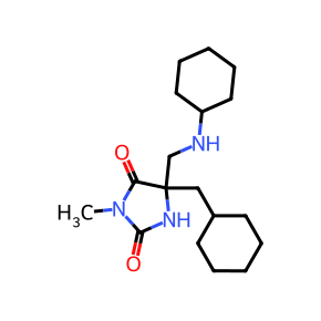 CN1C(=O)NC(CNC2CCCCC2)(CC2CCCCC2)C1=O